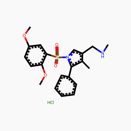 CNCc1cn(S(=O)(=O)c2cc(OC)ccc2OC)c(-c2ccccc2)c1C.Cl